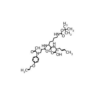 C=CCOc1ccc(N(CCC(=O)NC(CCCCNC(=O)OC(C)(C)C)C(=O)N[C@@H](CC=CC)C(=O)O)C(C)=O)cc1